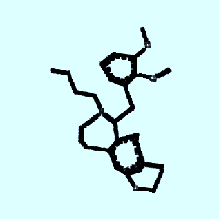 CCCCN1CCc2cc3c(cc2C1Cc1cccc(OC)c1OC)CCO3